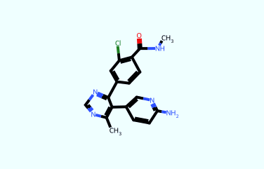 CNC(=O)c1ccc(-c2ncnc(C)c2-c2ccc(N)nc2)cc1Cl